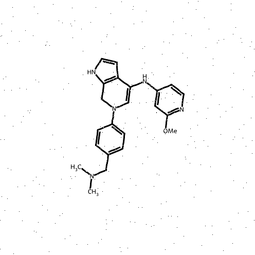 COc1cc(NC2=CN(c3ccc(CN(C)C)cc3)Cc3[nH]ccc32)ccn1